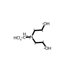 CN(CCO)CCO.Cl